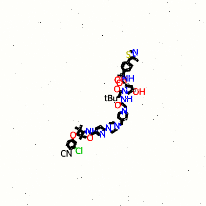 Cc1ncsc1-c1ccc([C@H](CO)NC(=O)[C@@H]2C[C@@H](O)CN2C(=O)C(NC(=O)CN2CCC(CN3CCN(c4ccc(C(=O)NC5C(C)(C)C(Oc6ccc(C#N)c(Cl)c6)C5(C)C)cn4)CC3)CC2)C(C)(C)C)cc1